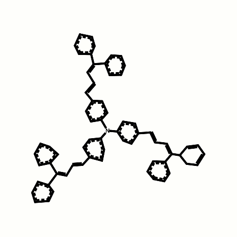 C1=CCC(C(=CC=Cc2ccc(N(c3ccc(C=CC=C(c4ccccc4)c4ccccc4)cc3)c3ccc(C=CC=C(c4ccccc4)c4ccccc4)cc3)cc2)c2ccccc2)C=C1